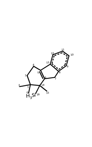 CC1(C)CCC2=C(Cc3ccccc32)C1(C)[SiH3]